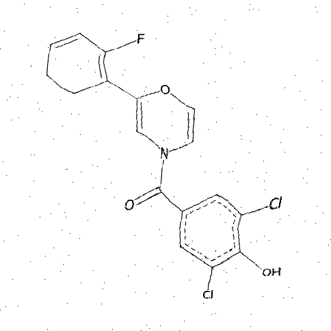 O=C(c1cc(Cl)c(O)c(Cl)c1)N1C=COC(C2=C(F)C=CCC2)=C1